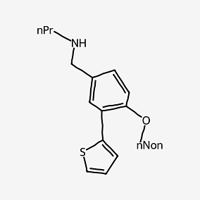 [CH2]CCNCc1ccc(OCCCCCCCCC)c(-c2cccs2)c1